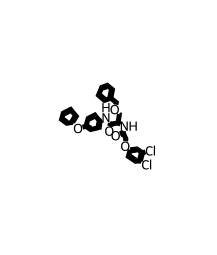 O=C(COc1ccc(Cl)c(Cl)c1)NC(COCc1ccccc1)C(=O)Nc1ccc(Oc2ccccc2)cc1